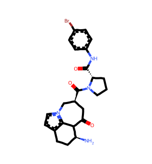 N[C@H]1CCc2ccn3c2C1C(=O)C[C@H](C(=O)N1CCC[C@H]1C(=O)Nc1ccc(Br)cc1)C3